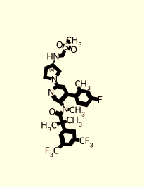 Cc1cc(F)ccc1-c1cc(N2CC[C@H](NCS(C)(=O)=O)C2)ncc1N(C)C(=O)C(C)(C)c1cc(C(F)(F)F)cc(C(F)(F)F)c1